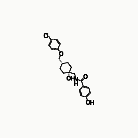 O=C(NC[C@]1(O)CC[C@@H](COc2ccc(Cl)cc2)CC1)c1ccc(O)cc1